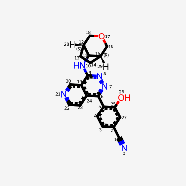 N#Cc1ccc(-c2nnc(NC3[C@@H]4CC[C@H]3COC4)c3cnccc23)c(O)c1